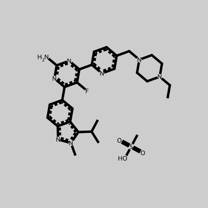 CCN1CCN(Cc2ccc(-c3nc(N)nc(-c4ccc5nn(C)c(C(C)C)c5c4)c3F)nc2)CC1.CS(=O)(=O)O